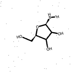 [1H]B[C@@H]1O[C@H](CO)C(O)C1O